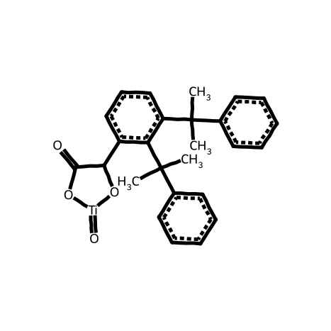 CC(C)(c1ccccc1)c1cccc(C2[O][Ti](=[O])[O]C2=O)c1C(C)(C)c1ccccc1